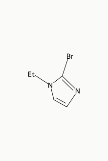 CCn1ccnc1Br